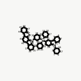 c1ccc(-n2c3ccccc3c3cc([Si](c4ccccc4)(c4ccccc4)c4cccc(-n5c6ccccc6c6ccc7c8ccccc8sc7c65)c4)ccc32)cc1